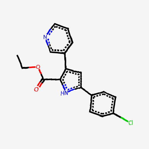 CCOC(=O)c1[nH]c(-c2ccc(Cl)cc2)cc1-c1cccnc1